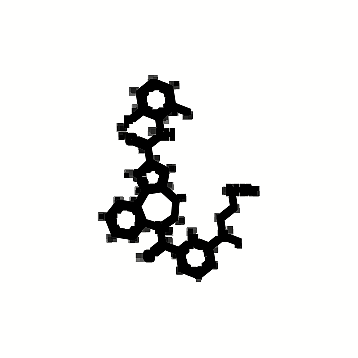 CC(=O)NCCN(C)c1cccc(C(=O)N2CCc3cc(C(=O)Nc4c(C)cccc4F)sc3-c3ccccc32)n1